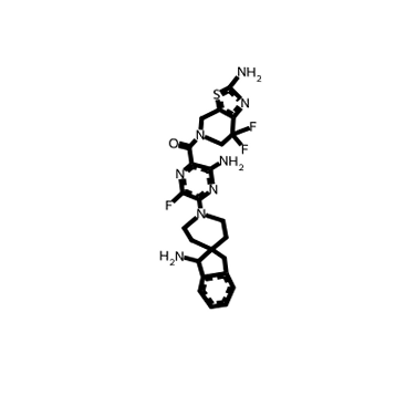 Nc1nc2c(s1)CN(C(=O)c1nc(F)c(N3CCC4(CC3)Cc3ccccc3C4N)nc1N)CC2(F)F